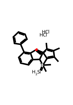 CC1=Cc2c(-c3ccccc3)cccc2[CH]1[Ti]([CH3])([CH3])(=[SiH2])[C]1=C(C)C(C)=C(C)C1C.Cl.Cl